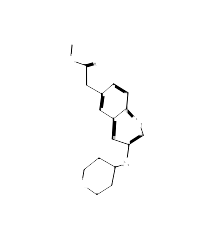 COC(=O)Cc1ccc2ncc(NC3CCOCC3)cc2c1